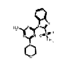 CS(=O)(=O)c1nc2ccccc2n1-c1nc(N)nc(N2CCOCC2)n1